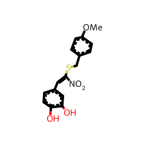 COc1ccc(CS/C(=C/c2ccc(O)c(O)c2)[N+](=O)[O-])cc1